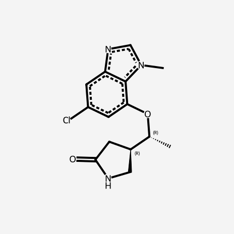 C[C@@H](Oc1cc(Cl)cc2ncn(C)c12)[C@H]1CNC(=O)C1